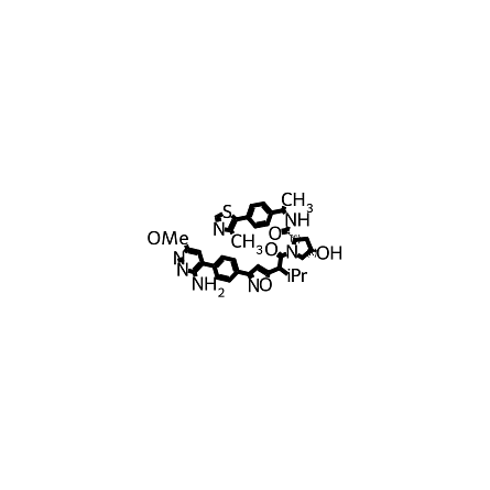 COc1cc(-c2ccc(-c3cc(C(C(=O)N4C[C@H](O)C[C@H]4C(=O)NC(C)c4ccc(-c5scnc5C)cc4)C(C)C)on3)cc2)c(N)nn1